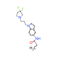 C=CC(=O)Nc1ccc2c(ccn2CCCN2CCC(F)(F)C2)c1